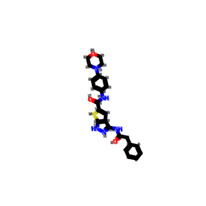 O=C(Cc1ccccc1)Nc1n[nH]c2sc(C(=O)Nc3ccc(N4CCOCC4)cc3)cc12